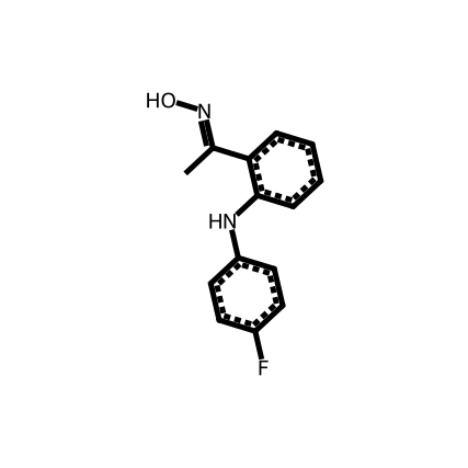 C/C(=N\O)c1ccccc1Nc1ccc(F)cc1